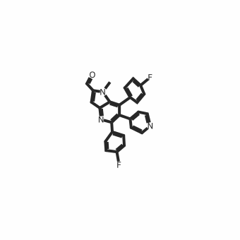 Cn1c(C=O)cc2nc(-c3ccc(F)cc3)c(-c3ccncc3)c(-c3ccc(F)cc3)c21